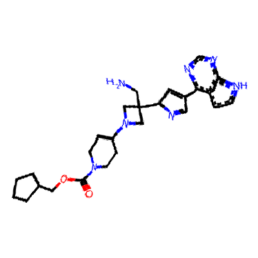 NCC1(C2C=C(c3ncnc4[nH]ccc34)C=N2)CN(C2CCN(C(=O)OCC3CCCC3)CC2)C1